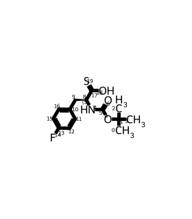 CC(C)(C)OC(=O)N[C@@H](Cc1ccc(F)cc1)C(O)=S